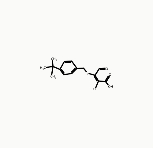 CC(C)(C)c1ccc(CS/C(C=O)=C(\Cl)C(=O)O)cc1